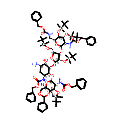 CC(C)(C)[Si](C)(C)OC[C@H]1O[C@@H](O[C@@H]2[C@@H](O)[C@H](N)C[C@H](NC(=O)OCc3ccccc3)[C@H]2O[C@H]2O[C@@H]3COC(c4ccccc4)O[C@H]3[C@H](O[Si](C)(C)C(C)(C)C)[C@H]2NC(=O)OCc2ccccc2)[C@H](O[Si](C)(C)C(C)(C)C)[C@@H]1O[C@H]1O[C@@H](CNC(=O)OCc2ccccc2)[C@@H](O[Si](C)(C)C(C)(C)C)[C@H](O[Si](C)(C)C(C)(C)C)[C@H]1NC(=O)OCc1ccccc1